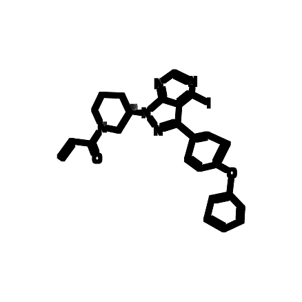 C=CC(=O)N1CCC[C@@H](n2nc(-c3ccc(Oc4ccccc4)cc3)c3c(I)ncnc32)C1